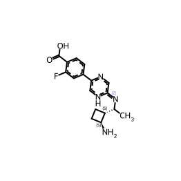 CC(/N=c1/cnc(-c2ccc(C(=O)O)c(F)c2)c[nH]1)[C@H]1CC[C@@H]1N